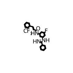 N=C(Nc1cc(F)cc(NC(=O)/C=C/c2ccccc2C(F)(F)F)c1)c1ccccc1